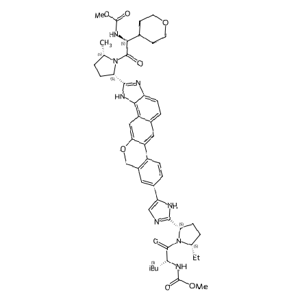 CC[C@H]1CC[C@@H](c2ncc(-c3ccc4c(c3)COc3cc5c(ccc6nc([C@@H]7CC[C@H](C)N7C(=O)[C@@H](NC(=O)OC)C7CCOCC7)[nH]c65)cc3-4)[nH]2)N1C(=O)C(NC(=O)OC)[C@@H](C)CC